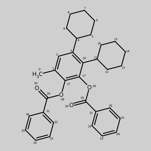 Cc1cc(C2CCCCC2)c(C2CCCCC2)c(OC(=O)c2ccccc2)c1OC(=O)c1ccccc1